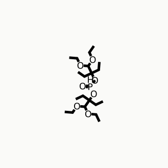 CCOC(OCC)C(CC)(CC)O[PH](=O)OC(CC)(CC)C(OCC)OCC